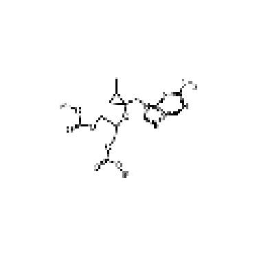 CC(C)OC(=O)OCC(COC(=O)OC(C)C)OC1(Cn2cnc3cnc(N)nc32)CC1C